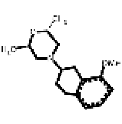 COc1cccc2c1CC(N1C[C@@H](C)O[C@H](C)C1)CC2